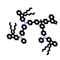 CCCCCCC1(CCCCCC)c2ccccc2-c2ccc(N(c3ccccc3)c3ccc(-c4ccc(N(c5ccc(-c6ccc(C(C)(c7ccc(-c8ccc(N(c9ccccc9)c9ccc%10c(c9)C(CCCCCC)(CCCCCC)c9ccccc9-%10)cc8)cc7)c7ccc(-c8cc9c(c%10ccccc8%10)CC9)cc7)cc6)cc5)c5ccc6c(c5)C(CCCCCC)(CCCCCC)c5ccccc5-6)cc4)cc3)cc21